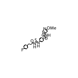 COc1cc(NS(=O)(=O)c2ccc(NC(=S)NC(=O)CCc3ccc(F)cc3)cc2)ncn1